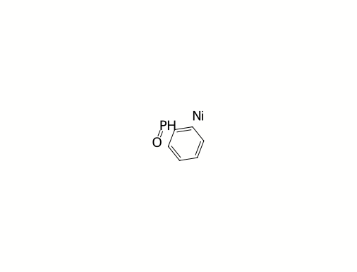 O=P.[Ni].c1ccccc1